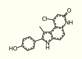 Cc1c(-c2ccc(O)cc2)[nH]c2ccc3[nH]c(=O)cc(Cl)c3c12